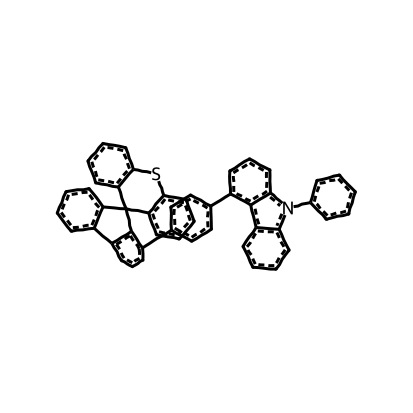 c1ccc(-n2c3ccccc3c3c(-c4ccc(-c5cccc6c5C5(c7ccccc7Sc7ccccc75)c5ccccc5-6)cc4)cccc32)cc1